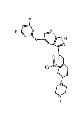 CN1CCN(c2ccc(CNc3n[nH]c4ncc(Sc5cc(F)cc(F)c5)cc34)c([N+](=O)[O-])c2)CC1